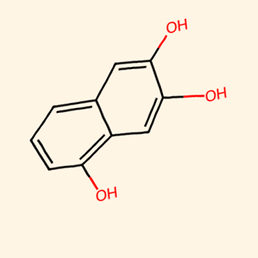 Oc1cc2cccc(O)c2cc1O